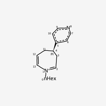 CCCCCC[N+]1=CC[C@H](c2ccncc2)CC=C1